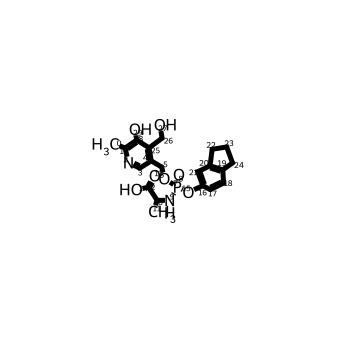 Cc1ncc(COP(=O)(NC(C)C(=O)O)Oc2ccc3c(c2)CCC3)c(CO)c1O